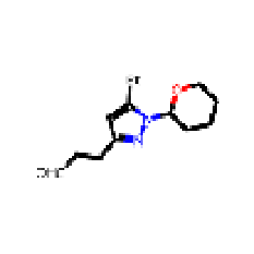 CCc1cc(CCC=O)nn1C1CCCCO1